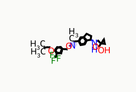 C/C(=N\OCc1ccc(OCC(C)C)c(C(F)(F)F)c1)c1ccc2c(c1)CCC2NCC1(C(=O)O)CC1